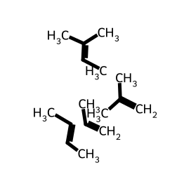 C=C(C)C.C=CC.CC=C(C)C.CC=CC